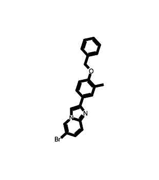 Cc1cc(-c2cn3cc(Br)ccc3n2)ccc1OCc1ccccc1